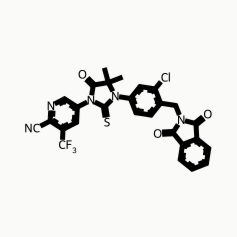 CC1(C)C(=O)N(c2cnc(C#N)c(C(F)(F)F)c2)C(=S)N1c1ccc(CN2C(=O)c3ccccc3C2=O)c(Cl)c1